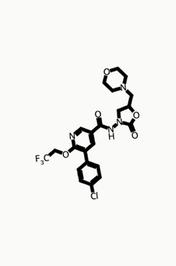 O=C(NN1CC(CN2CCOCC2)OC1=O)c1cnc(OCC(F)(F)F)c(-c2ccc(Cl)cc2)c1